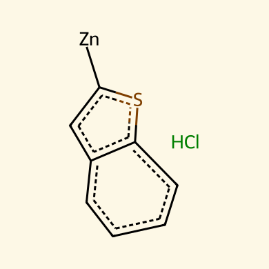 Cl.[Zn][c]1cc2ccccc2s1